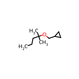 [CH2]CCC(C)(C)OCC1CC1